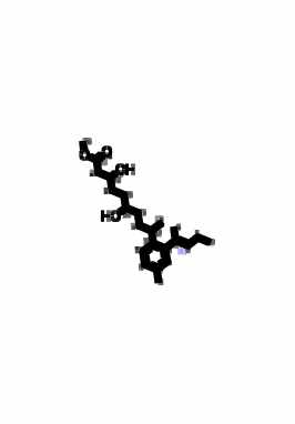 CC/C=C(\C)c1cc(C)ccc1C(C)CCC(O)CCC(O)CC(=O)OC